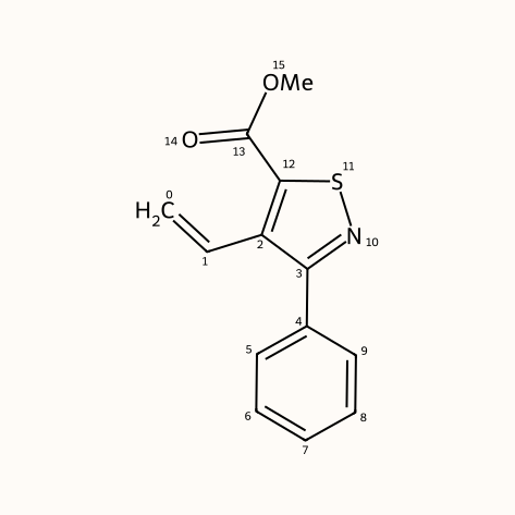 C=Cc1c(-c2ccccc2)nsc1C(=O)OC